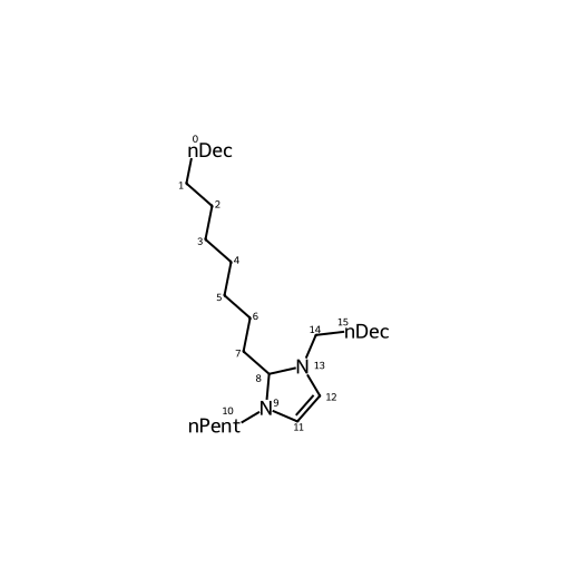 CCCCCCCCCCCCCCCCCC1N(CCCCC)C=CN1CCCCCCCCCCC